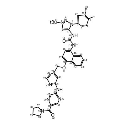 Cc1ccc(-n2nc(C(C)(C)C)cc2NC(=O)Nc2ccc(OCc3ccnc(Nc4cnc(C(=O)N5CCCC5)cn4)c3)c3ccccc23)cc1F